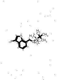 CC(C)(C)[Si](C)(C)OCc1cccc2c(F)coc12